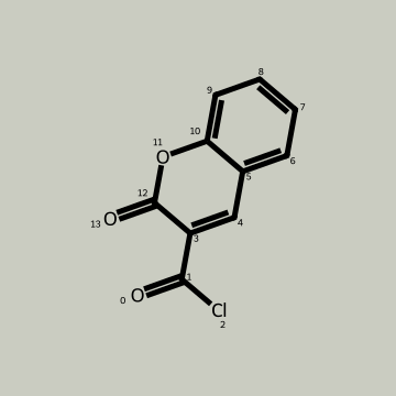 O=C(Cl)c1cc2ccccc2oc1=O